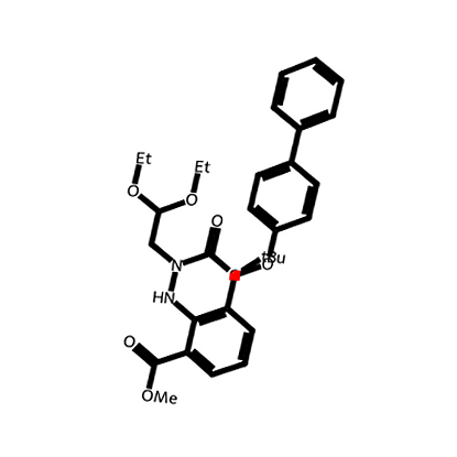 CCOC(CN(Nc1c(COc2ccc(-c3ccccc3)cc2)cccc1C(=O)OC)C(=O)OC(C)(C)C)OCC